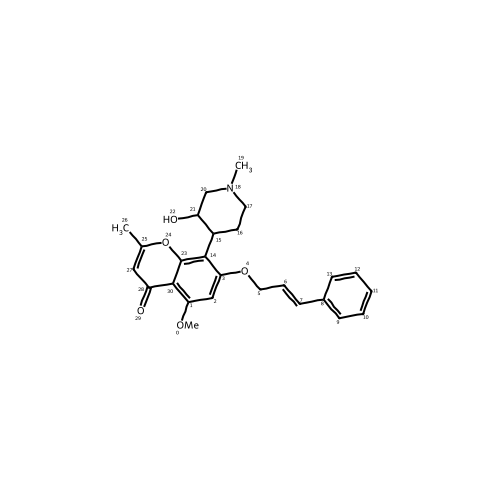 COc1cc(OC/C=C/c2ccccc2)c(C2CCN(C)CC2O)c2oc(C)cc(=O)c12